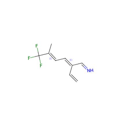 C=C/C(C=N)=C\C=C(/C)C(F)(F)F